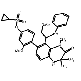 COCC(Nc1ccccc1)c1c(-c2ccc(OS(=O)(=O)C3CC3)cc2OC)ccc2c1N(C)C(=O)C(C)(C)N2